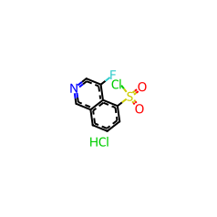 Cl.O=S(=O)(Cl)c1cccc2cncc(F)c12